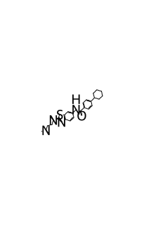 CN(C)CCN(C)c1nc2ccc(NC(=O)c3ccc(C4CCCCC4)cc3)cc2s1